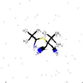 CC(C)(C)C(N)SC(C#N)(C#N)C(C)(C)C